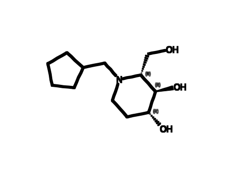 OC[C@@H]1[C@@H](O)[C@H](O)CCN1CC1CCCC1